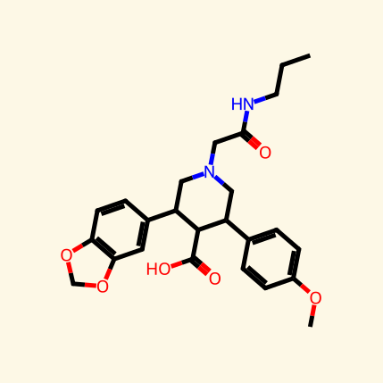 CCCNC(=O)CN1CC(c2ccc(OC)cc2)C(C(=O)O)C(c2ccc3c(c2)OCO3)C1